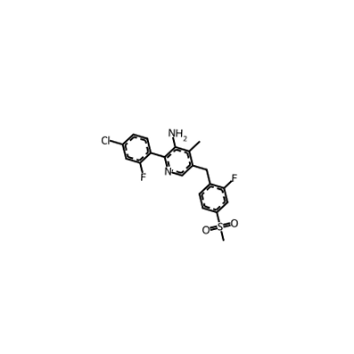 Cc1c(Cc2ccc(S(C)(=O)=O)cc2F)cnc(-c2ccc(Cl)cc2F)c1N